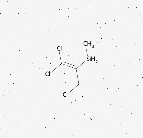 C[SiH2]C(CCl)=C(Cl)Cl